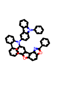 c1ccc(-c2nc3c(ccc4oc5ccc(N(c6ccc7c(c6)c6ccccc6n7-c6ccccc6)c6ccccc6-c6ccccc6)cc5c43)o2)cc1